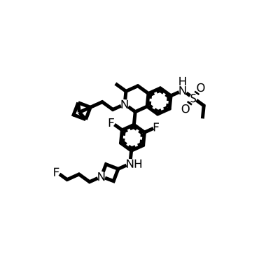 CCS(=O)(=O)Nc1ccc2c(c1)CC(C)N(CCC1C3CC1C3)C2c1c(F)cc(NC2CN(CCCF)C2)cc1F